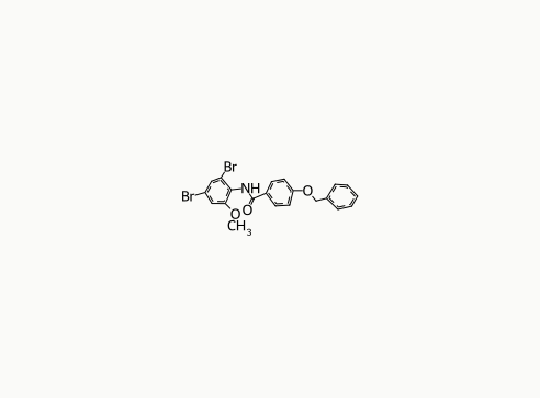 COc1cc(Br)cc(Br)c1NC(=O)c1ccc(OCc2ccccc2)cc1